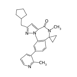 Cc1ncccc1-c1ccc2c(c1)-n1nc(CC3CCCC3)cc1C(=O)N(C)C21CC1